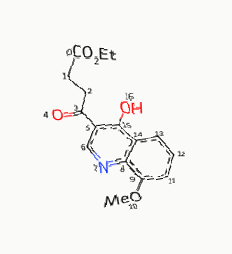 CCOC(=O)CCC(=O)c1cnc2c(OC)cccc2c1O